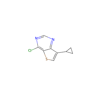 Clc1ncnc2c(C3CC3)csc12